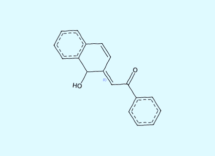 O=C(/C=C1\C=Cc2ccccc2C1O)c1ccccc1